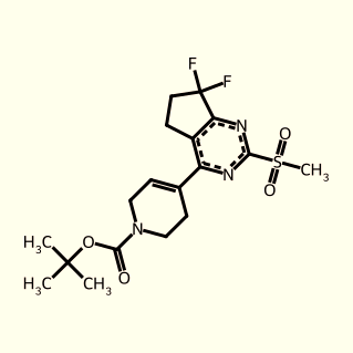 CC(C)(C)OC(=O)N1CC=C(c2nc(S(C)(=O)=O)nc3c2CCC3(F)F)CC1